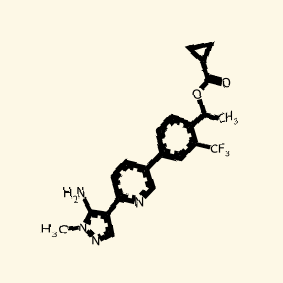 CC(OC(=O)C1CC1)c1ccc(-c2ccc(-c3cnn(C)c3N)nc2)cc1C(F)(F)F